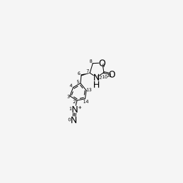 N#[N+]c1ccc(C[C@H]2COC(=O)N2)cc1